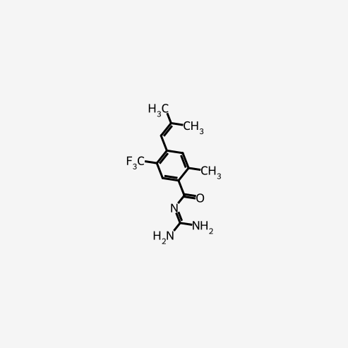 CC(C)=Cc1cc(C)c(C(=O)N=C(N)N)cc1C(F)(F)F